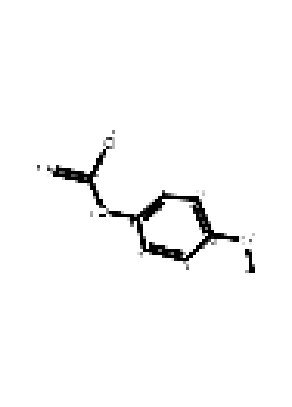 COc1ccc(OC(=S)Cl)cc1